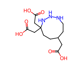 O=C(O)CC1CCNNNC(CC(=O)O)(CC(=O)O)CC1